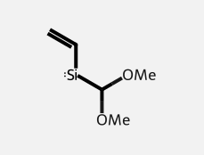 C=C[Si]C(OC)OC